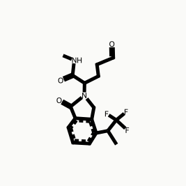 CNC(=O)C(CCC=O)N1Cc2c(cccc2C(C)C(F)(F)F)C1=O